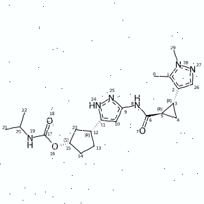 Cc1c([C@@H]2C[C@H]2C(=O)Nc2cc([C@@H]3CC[C@H](OC(=O)NC(C)C)C3)[nH]n2)cnn1C